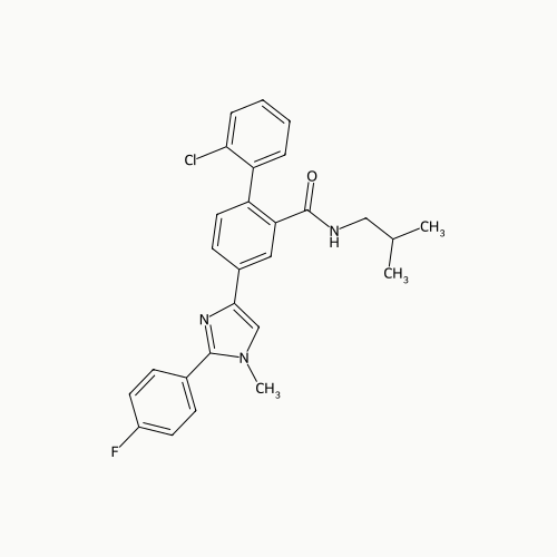 CC(C)CNC(=O)c1cc(-c2cn(C)c(-c3ccc(F)cc3)n2)ccc1-c1ccccc1Cl